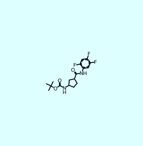 CC(C)(C)OC(=O)NC1CCC(C(=O)Nc2cc(F)c(F)cc2F)C1